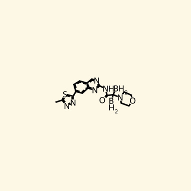 BC(B)(C(=O)Nc1ncc2ccc(-c3nnc(C)s3)cc2n1)N1CCOCC1